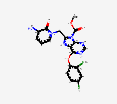 CC(C)(C)OC(=O)n1c(Cn2cccc(N)c2=O)nc2c(Oc3ccc(F)cc3F)ncnc21